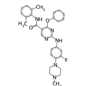 Cc1cccc(C)c1NC(=O)c1cnc(Nc2ccc(N3CCN(C)CC3)c(F)c2)nc1Oc1ccccc1